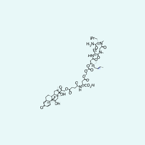 C/C=C/C[C@@H](C)[C@H](CC(=O)N[C@@H](CC)C(=O)N(C)CC(=O)N(C)[C@@H](CC(C)C)C(N)=O)OC(=O)OCOC(=O)C[C@H](NC(=O)CCC(=O)OCC(=O)[C@@]1(O)[C@@H](C)CC2C3CCC4=CC(=O)C=C[C@]4(C)[C@@]3(F)[C@@H](O)C[C@@]21C)C(=O)O